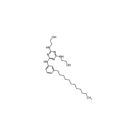 CCCCCCCCCCCCc1cccc(Nc2nc(NCCO)nc(NCCO)n2)c1